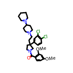 COc1ccc(C(=O)N2CCC(CCN3CCC(N4CCCCC4)CC3)(c3ccc(Cl)c(Cl)c3)C2)c(OC)c1